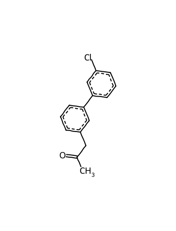 CC(=O)Cc1cccc(-c2cccc(Cl)c2)c1